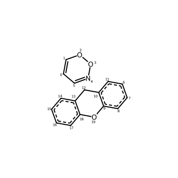 C1=COON=C1.c1ccc2c(c1)Cc1ccccc1O2